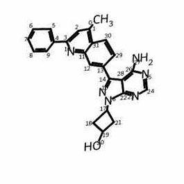 Cc1cc(-c2ccccc2)nc2cc(-c3nn(C4CC(O)C4)c4ncnc(N)c34)ccc12